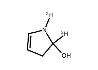 [2H]N1C=CCC1([2H])O